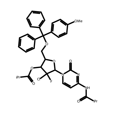 COc1ccc(C(OCC2OC(n3ccc(NC(=O)C(C)C)nc3=O)C(F)(Cl)C2OC(=O)C(C)C)(c2ccccc2)c2ccccc2)cc1